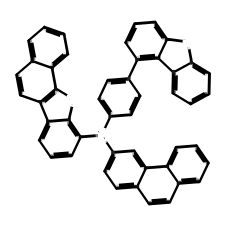 c1ccc2c(c1)ccc1ccc(N(c3ccc(-c4cccc5sc6ccccc6c45)cc3)c3cccc4c3oc3c5ccccc5ccc43)cc12